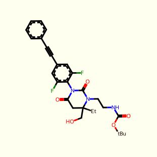 CCC1(CO)CC(=O)N(c2c(F)cc(C#Cc3ccccc3)cc2F)C(=O)N1CCNC(=O)OC(C)(C)C